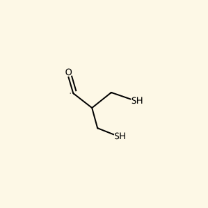 O=[C]C(CS)CS